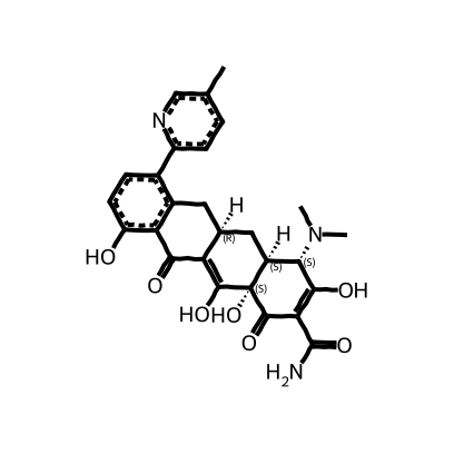 Cc1ccc(-c2ccc(O)c3c2C[C@H]2C[C@H]4[C@H](N(C)C)C(O)=C(C(N)=O)C(=O)[C@@]4(O)C(O)=C2C3=O)nc1